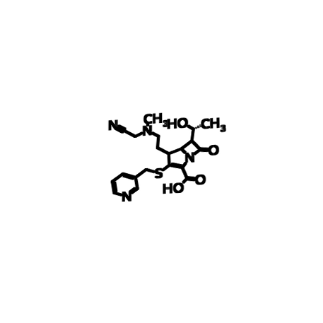 C[C@@H](O)C1C(=O)N2C(C(=O)O)=C(SCc3cccnc3)C(CCN(C)CC#N)C12